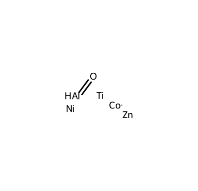 [Co].[Ni].[O]=[AlH].[Ti].[Zn]